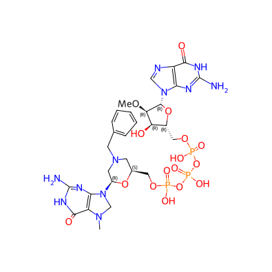 CO[C@@H]1[C@H](O)[C@@H](COP(=O)(O)OP(=O)(O)OP(=O)(O)OC[C@@H]2CN(Cc3ccccc3)C[C@H](N3CN(C)c4c3nc(N)[nH]c4=O)O2)O[C@H]1n1cnc2c(=O)[nH]c(N)nc21